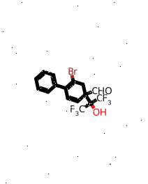 O=CC1(C(O)(C(F)(F)F)C(F)(F)F)C=CC(c2ccccc2)=C(Br)C1